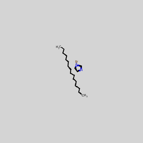 Brn1ccnc1.CCCCCCCCCCCCCCCC